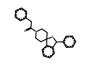 O=C(Cc1ccccc1)N1CCC2(CC1)SC(c1ccccc1)c1ccccc12